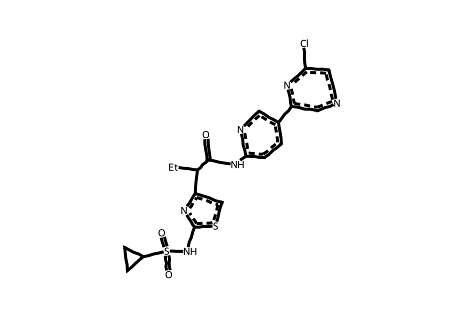 CCC(C(=O)Nc1ccc(-c2cncc(Cl)n2)cn1)c1csc(NS(=O)(=O)C2CC2)n1